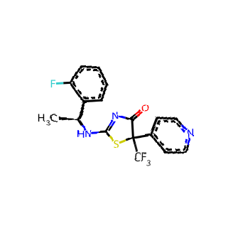 C[C@H](NC1=NC(=O)C(c2ccncc2)(C(F)(F)F)S1)c1ccccc1F